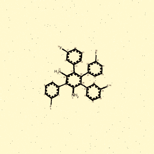 Nc1c(-c2cccc(F)c2)c(N)c(-c2cccc(F)c2)c(-c2cccc(F)c2)c1-c1cccc(F)c1